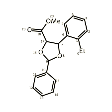 CCc1ccccc1C1OC(c2ccccc2)OC1C(=O)OC